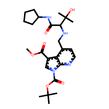 COC(=O)c1cn(C(=O)OC(C)(C)C)c2nccc(CNC(C(=O)NC3CCCC3)C(C)(C)O)c12